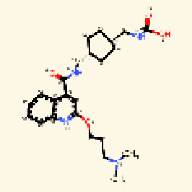 CN(C)CCCOc1cc(C(=O)NC[C@H]2CC[C@H](CNC(=O)O)CC2)c2ccccc2n1